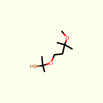 COC(C)(C)CCOC(C)(C)S